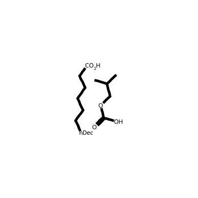 CC(C)COC(=O)O.CCCCCCCCCCCCCCCC(=O)O